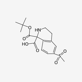 CC(C)(C)OC(=O)C1(C(=O)O)NCCc2cc(S(C)(=O)=O)ccc21